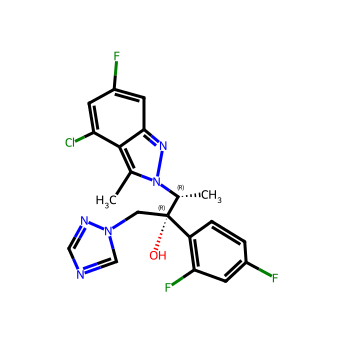 Cc1c2c(Cl)cc(F)cc2nn1[C@H](C)[C@](O)(Cn1cncn1)c1ccc(F)cc1F